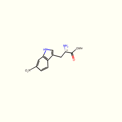 COC(=O)[C@@H](N)Cc1c[nH]c2cc([N+](=O)[O-])ccc12